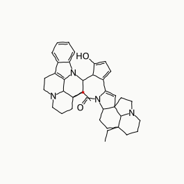 CCC12CCCN3CCc4c(n(c5ccccc45)C(C4C(O)=CC=C4C4=CC56CCN7CCCC(CC)(CCC5N4C=O)C76)C1)C32